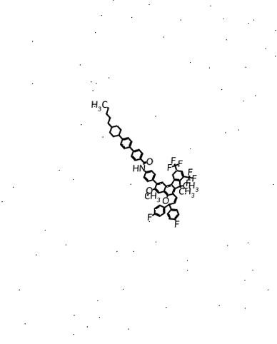 CCCCCC1CCC(c2ccc(-c3ccc(C(=O)Nc4ccc(-c5cc6c7c(c8c(c6cc5OC)OC(c5ccc(F)cc5)(c5ccc(F)cc5)C=C8)C(C)(C)C5=C7CC(C(F)(F)F)C=C5C(F)(F)F)cc4)cc3)cc2)CC1